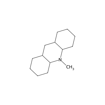 CN1C2CCCCC2CC2CCCCC21